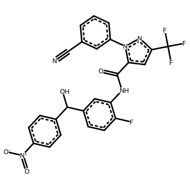 N#Cc1cccc(-n2nc(C(F)(F)F)cc2C(=O)Nc2cc(C(O)c3ccc([N+](=O)[O-])cc3)ccc2F)c1